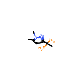 Cc1cc(C(C)(P)P)nn1C